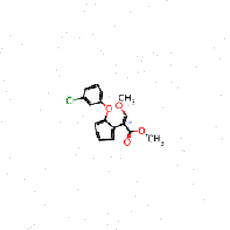 CO/C=C(/C(=O)OC)c1ccccc1Oc1cccc(Cl)c1